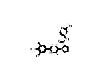 Cc1cc(C(=O)N[C@@H](C)C(=O)N2CCC[C@H]2C(=O)N[C@H](C=O)CC(=O)O)cc(Cl)c1N